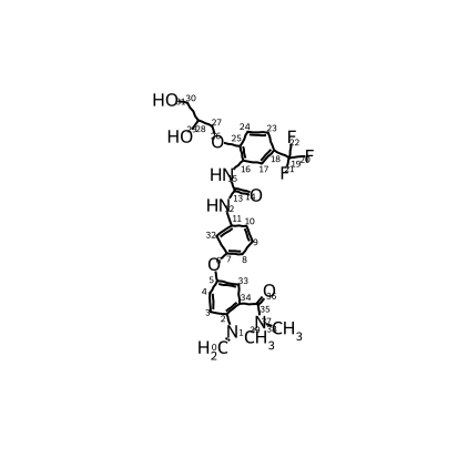 C=Nc1ccc(Oc2cccc(NC(=O)Nc3cc(C(F)(F)F)ccc3OCC(O)CO)c2)cc1C(=O)N(C)C